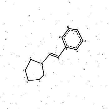 C(=CN1CCCCC1)c1ccccc1